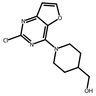 OCC1CCN(c2nc(Cl)nc3ccoc23)CC1